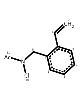 C=Cc1ccccc1CN(Cl)C(C)=O